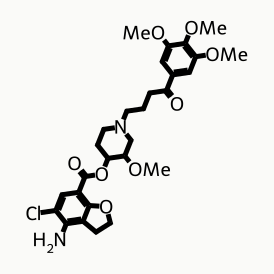 COc1cc(C(=O)CCCN2CCC(OC(=O)c3cc(Cl)c(N)c4c3OCC4)C(OC)C2)cc(OC)c1OC